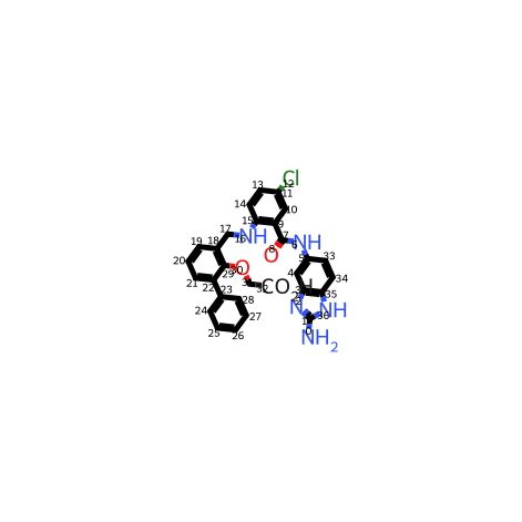 Nc1nc2cc(NC(=O)c3cc(Cl)ccc3NCc3cccc(-c4ccccc4)c3OCC(=O)O)ccc2[nH]1